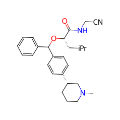 CC(C)C[C@H](OC(c1ccccc1)c1ccc([C@H]2CCCN(C)C2)cc1)C(=O)NCC#N